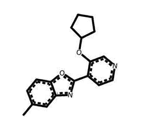 Cc1ccc2oc(-c3ccncc3OC3CCCC3)nc2c1